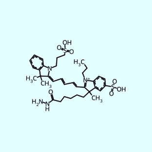 CCC[N+]1=C(/C=C/C=C/C=C2\N(CCCS(=O)(=O)O)c3ccccc3C2(C)C)C(C)(CCCCCC(=O)NN)c2cc(S(=O)(=O)O)ccc21